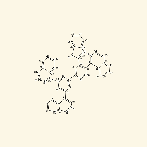 c1ccc2c(-c3cc(-c4ccc(-c5nccc6ccccc56)c(-c5nc6ccccc6s5)c4)cc(-c4cncc5ccccc45)c3)cncc2c1